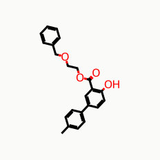 Cc1ccc(-c2ccc(O)c(C(=O)OCCOCc3ccccc3)c2)cc1